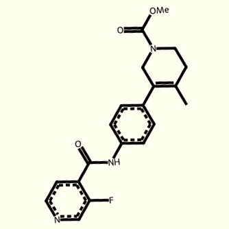 COC(=O)N1CCC(C)=C(c2ccc(NC(=O)c3ccncc3F)cc2)C1